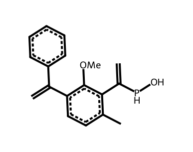 C=C(c1ccccc1)c1ccc(C)c(C(=C)PO)c1OC